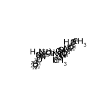 CCOC(C(=O)NCc1ccc(C(N)=NC(=O)OCc2ccccc2)cc1)n1cccc(Nc2cccc(OC)c2)c1=O